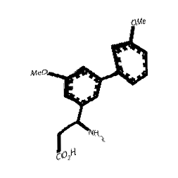 COc1cccc(-c2cc(OC)cc(C(N)CC(=O)O)c2)c1